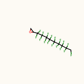 FCC(F)(F)C(F)(F)C(F)(F)C(F)(F)C(F)(F)C(F)(F)C(F)(F)C(F)(F)C1CO1